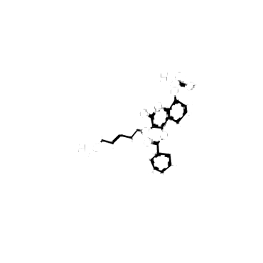 CCC=CCCOc1c(OC(=O)c2ccccc2)c2cccc(OC(C)=O)c2oc1=O